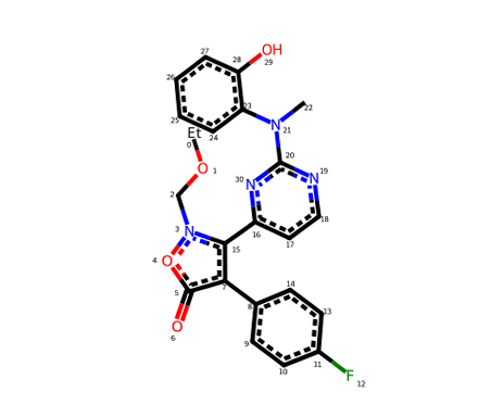 CCOCn1oc(=O)c(-c2ccc(F)cc2)c1-c1ccnc(N(C)c2ccccc2O)n1